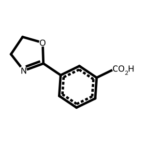 O=C(O)c1cccc(C2=NCCO2)c1